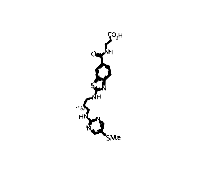 CSc1cnc(NC[C@H](C)CNc2nc3ccc(C(=O)NCCC(=O)O)cc3s2)nc1